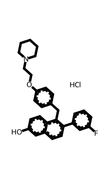 Cl.Oc1ccc2c(Cc3ccc(OCCN4CCCCC4)cc3)c(-c3cccc(F)c3)ccc2c1